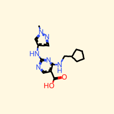 Cn1cc(Nc2ncc(C(=O)O)c(NCC3CCCC3)n2)cn1